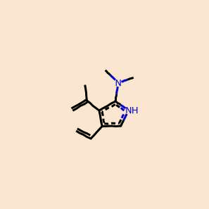 C=Cc1c[nH]c(N(C)C)c1C(=C)C